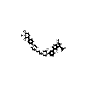 O=C1CCC(c2ccc(N3CCN(CCCN4CCN(c5cccc(-c6cnc7[nH]cc(C8CC8)c7c6Cl)c5)C(=O)C4)CC3)cc2)C(=O)N1